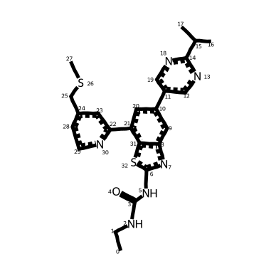 CCNC(=O)Nc1nc2cc(-c3cnc(C(C)C)nc3)cc(-c3cc(CSC)ccn3)c2s1